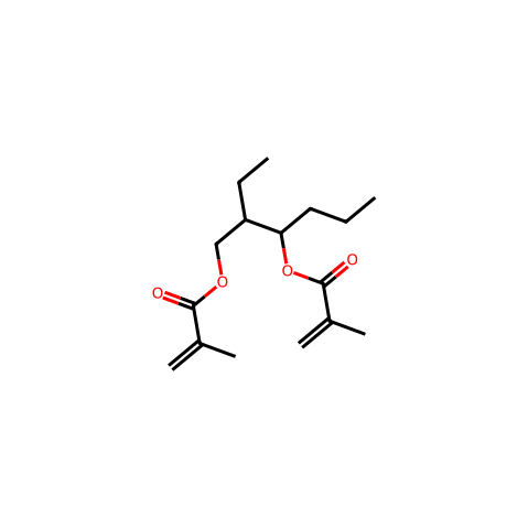 C=C(C)C(=O)OCC(CC)C(CCC)OC(=O)C(=C)C